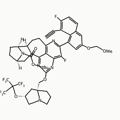 C#Cc1c(F)ccc2cc(OCOC)cc(-c3nc4c5c(nc(OC[C@]67CCCN6C[C@H](OC(C(F)(F)F)(C(F)(F)F)C(F)(F)F)C7)nc5c3F)N3C[C@H]5CC[C@@H]([C@H]3CC4)N5C(=O)OC(C)(C)C)c12